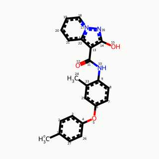 Cc1ccc(Oc2ccc(NC(=O)c3c(O)nn4ccccc34)c(C)c2)cc1